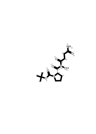 CC(C)(C)OC(=O)N1CCC[C@H]1C(=O)N(O)C(=O)CCC(N)=O